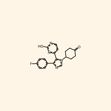 O=C1CCC(n2cnc(-c3ccc(F)cc3)c2-c2ccnc(O)n2)CC1